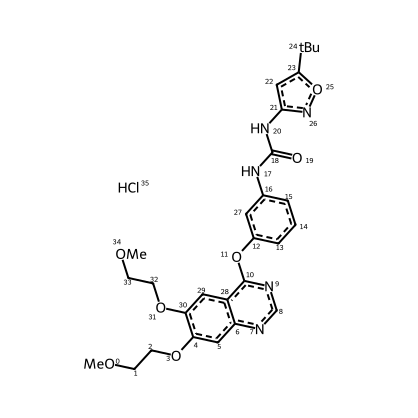 COCCOc1cc2ncnc(Oc3cccc(NC(=O)Nc4cc(C(C)(C)C)on4)c3)c2cc1OCCOC.Cl